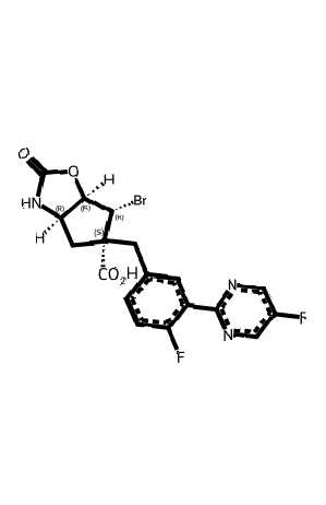 O=C1N[C@@H]2C[C@@](Cc3ccc(F)c(-c4ncc(F)cn4)c3)(C(=O)O)[C@@H](Br)[C@@H]2O1